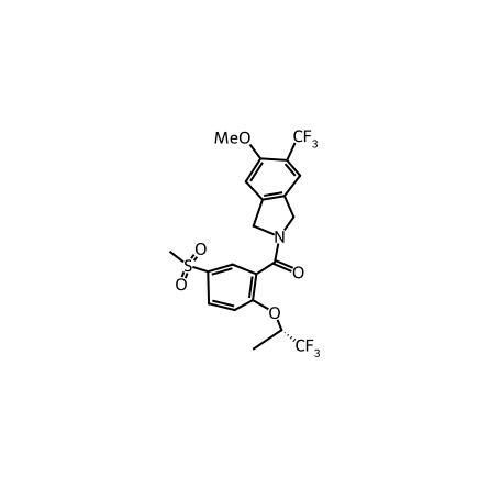 COc1cc2c(cc1C(F)(F)F)CN(C(=O)c1cc(S(C)(=O)=O)ccc1O[C@@H](C)C(F)(F)F)C2